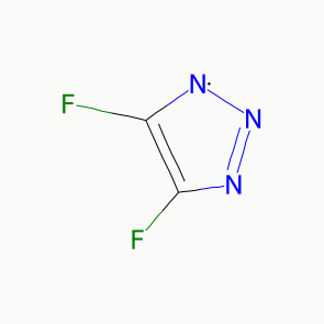 FC1=C(F)N=N[N]1